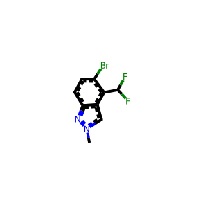 Cn1cc2c(C(F)F)c(Br)ccc2n1